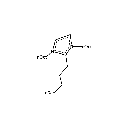 CCCCCCCCCCCCCc1n(CCCCCCCC)cc[n+]1CCCCCCCC